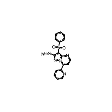 CNc1nn2c(-c3ccccn3)ccnc2c1S(=O)(=O)c1ccccc1